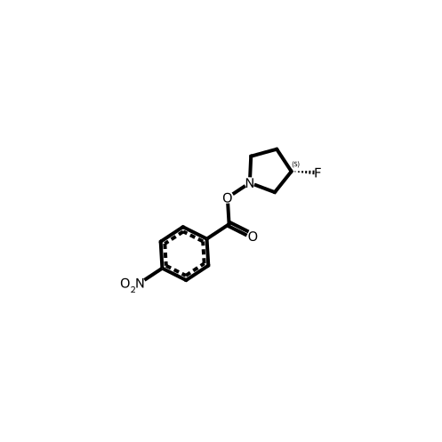 O=C(ON1CC[C@H](F)C1)c1ccc([N+](=O)[O-])cc1